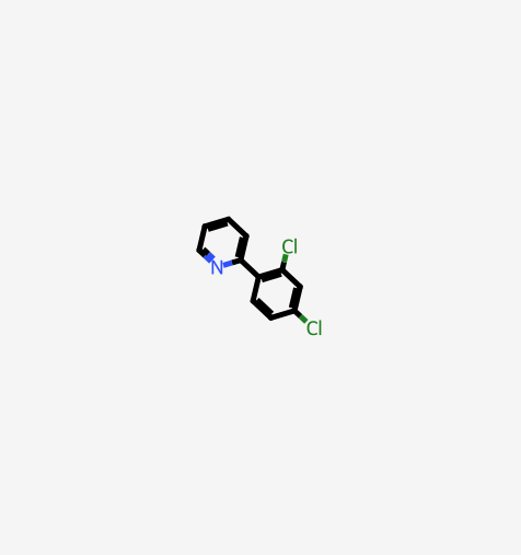 Clc1ccc(-c2ccccn2)c(Cl)c1